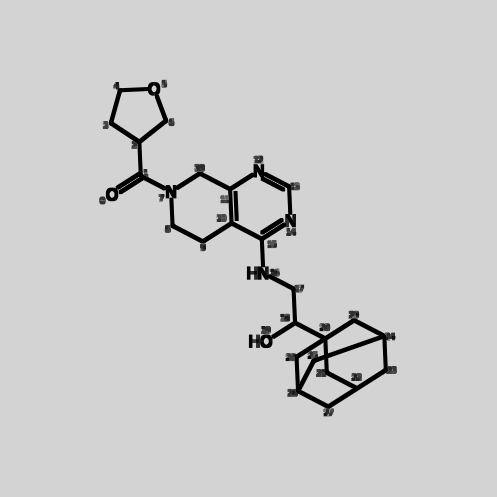 O=C(C1CCOC1)N1CCc2c(ncnc2NCC(O)C23CC4CC(CC(C4)C2)C3)C1